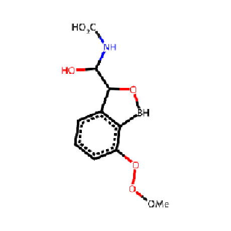 COOOc1cccc2c1BOC2C(O)NC(=O)O